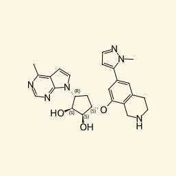 Cc1ncnc2c1ccn2[C@@H]1C[C@H](Oc2cc(-c3ccnn3C)cc3c2CNCC3)[C@@H](O)[C@H]1O